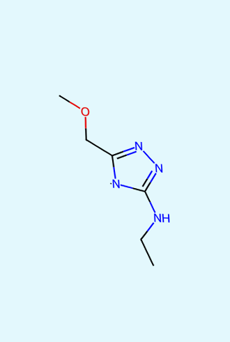 CCNC1=NN=C(COC)[N]1